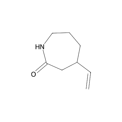 C=CC1CCCNC(=O)C1